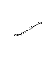 O=CCCCOCCOCCOCCOCCOCCO